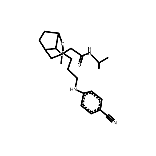 CC(C)NC(=O)CN(C)C1C2CCC1CN(CCCNc1ccc(C#N)cc1)C2